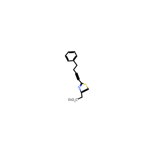 CCOC(=O)Cc1csc(C#CCCc2ccccc2)n1